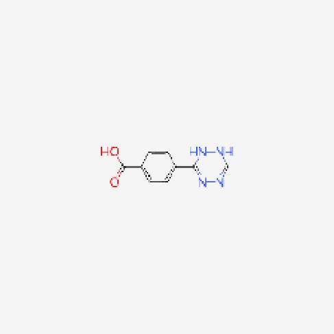 O=C(O)c1ccc(C2=NN=CNN2)cc1